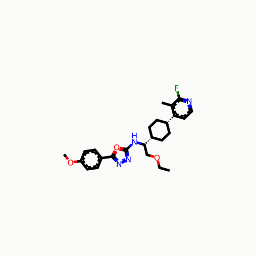 CCOCC(Nc1nnc(-c2ccc(OC)cc2)o1)[C@H]1CC[C@@H](c2ccnc(F)c2C)CC1